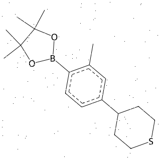 Cc1cc(C2CCSCC2)ccc1B1OC(C)(C)C(C)(C)O1